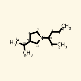 CCCC(CC)N1CCC(C(C)C)C1